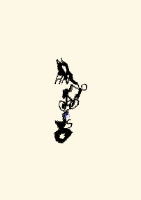 O=C1CN(S(=O)(=O)/C=C/c2cc3ccccc3s2)CCN1Cc1cc2cnccc2[nH]1